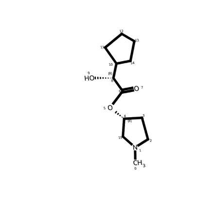 CN1CC[C@@H](OC(=O)[C@H](O)C2CCCC2)C1